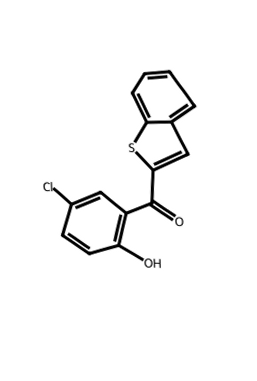 O=C(c1cc2ccccc2s1)c1cc(Cl)ccc1O